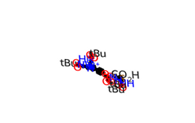 CC(C)(C)OC(=O)NCCCn1cc(-c2ccc(OCC(O/N=C(\C(=O)O)c3csc(NC(=O)OC(C)(C)C)n3)C(=O)OC(C)(C)C)cc2)c[n+]1CCNC(=O)OC(C)(C)C